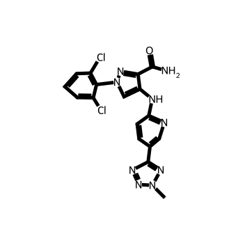 Cn1nnc(-c2ccc(Nc3cn(-c4c(Cl)cccc4Cl)nc3C(N)=O)nc2)n1